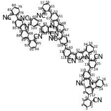 N#Cc1ccccc1-c1ccc2c(c1)c1ccccc1n2-c1cc(-c2ccc(C#N)c(-n3c4ccccc4c4cc(-c5cc(-c6ccc(-c7ccc8c9ccc(-c%10ccccc%10C#N)cc9n(-c9cc(-c%10ccc(C#N)c(-n%11c%12cc(-c%13ccccc%13C#N)ccc%12c%12ccc(-c%13ccccc%13C#N)cc%12%11)c%10)ccc9C#N)c8c7)c(C#N)c6)ccc5C#N)ccc43)c2)ccc1C#N